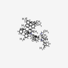 CC/C=C\C(C)(C)N(C)/C(=N\C(=N)n1cc(C)c2c1CCC2)C1C=CC(C(C)(C)CCc2cc(C)cc(C)c2B(/C=C/CC)C2CC(Nc3ccccc3)C=C3B(c4c(C)cc(C)cc4C)c4cc(C(C)(C)C)ccc4N(C(C)C)C32)=CC1